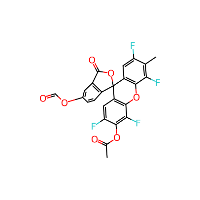 CC(=O)Oc1c(F)cc2c(c1F)Oc1c(cc(F)c(C)c1F)C21OC(=O)c2cc(OC=O)ccc21